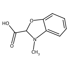 CN1c2ccccc2OC1C(=O)O